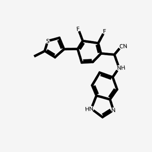 Cc1cc(-c2ccc(C(C#N)Nc3ccc4[nH]cnc4c3)c(F)c2F)cs1